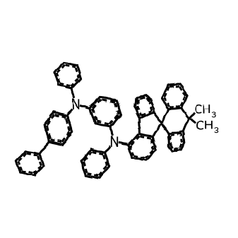 CC1(C)c2ccccc2C2(c3ccccc3-c3c(N(c4ccccc4)c4cccc(N(c5ccccc5)c5ccc(-c6ccccc6)cc5)c4)cccc32)c2ccccc21